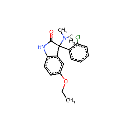 CCOc1ccc2c(c1)C(c1ccccc1Cl)(N(C)C)C(=O)N2